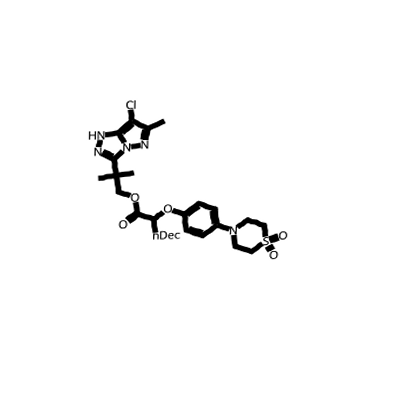 CCCCCCCCCCC(Oc1ccc(N2CCS(=O)(=O)CC2)cc1)C(=O)OCC(C)(C)c1n[nH]c2c(Cl)c(C)nn12